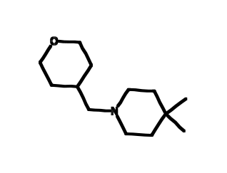 CC1(C)CCN(CC2CCOCC2)CC1